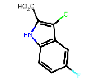 O=C(O)c1[nH]c2ccc(F)cc2c1Cl